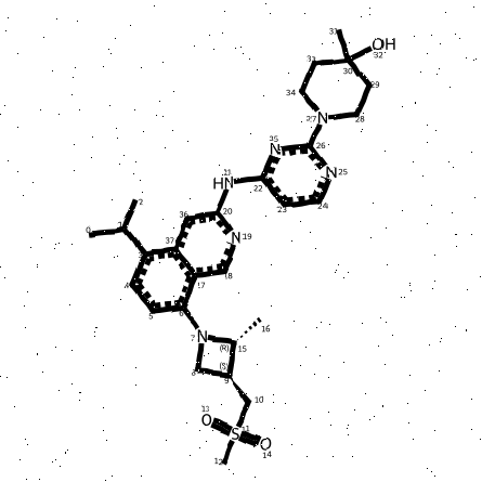 CC(C)c1ccc(N2C[C@H](CS(C)(=O)=O)[C@H]2C)c2cnc(Nc3ccnc(N4CCC(C)(O)CC4)n3)cc12